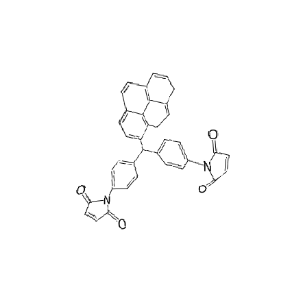 O=C1C=CC(=O)N1c1ccc(C(c2ccc(N3C(=O)C=CC3=O)cc2)c2ccc3ccc4c5c3c2CC=C5CC=C4)cc1